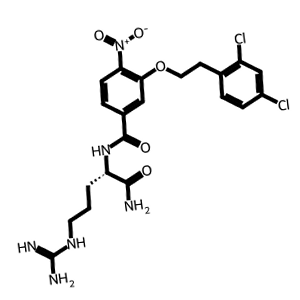 N=C(N)NCCC[C@H](NC(=O)c1ccc([N+](=O)[O-])c(OCCc2ccc(Cl)cc2Cl)c1)C(N)=O